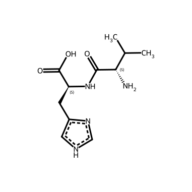 CC(C)[C@H](N)C(=O)N[C@@H](Cc1c[nH]cn1)C(=O)O